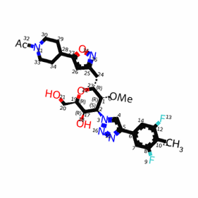 CO[C@@H]1[C@@H](n2cc(-c3cc(F)c(C)c(F)c3)nn2)[C@@H](O)[C@@H](CO)O[C@@H]1Cc1cc(C2CCN(C(C)=O)CC2)on1